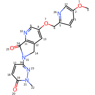 COc1ccc(COc2cnc3c(c2)CN(c2ccc(=O)n(C)n2)C3=O)nc1